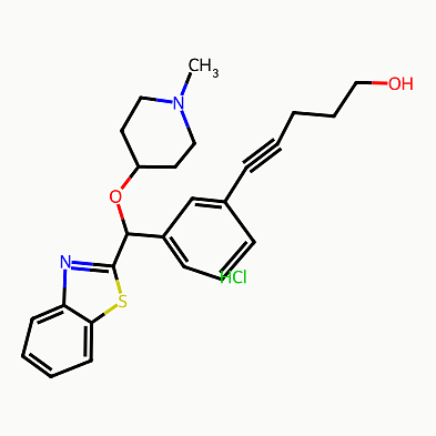 CN1CCC(OC(c2cccc(C#CCCCO)c2)c2nc3ccccc3s2)CC1.Cl